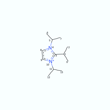 CC(C)c1n(C(C)C)cc[n+]1C(C)C